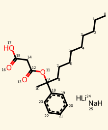 CCCCCCCCCC(C)(OC(=O)CC(=O)O)c1ccccc1.[LiH].[NaH]